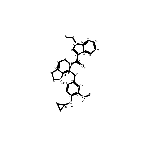 CCn1cc(C(=O)N2CC=C3CCSC3=C2Cc2ccc(OC3CC3)c(OC)c2)c2ccccc21